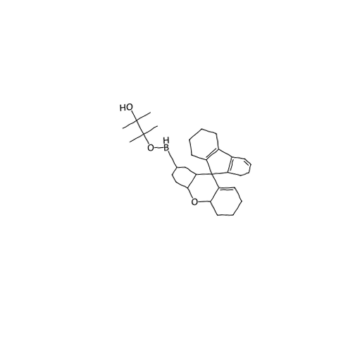 CC(C)(O)C(C)(C)OBC1CCC2OC3CCCC=C3C3(C4=C(C=CCC4)C4=C3CCCC4)C2C1